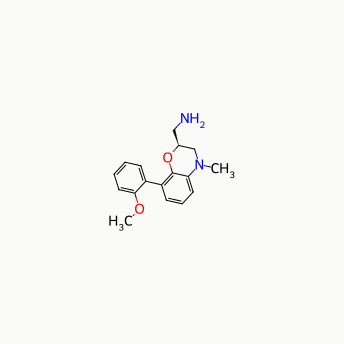 COc1ccccc1-c1cccc2c1O[C@@H](CN)CN2C